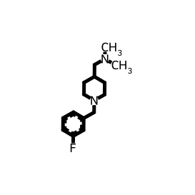 CN(C)CC1CCN(Cc2cccc(F)c2)CC1